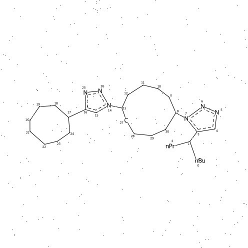 CCCCC(CCC)c1cnnn1C1CCCCC(n2cc(C3CCCCCCC3)nn2)CCCC1